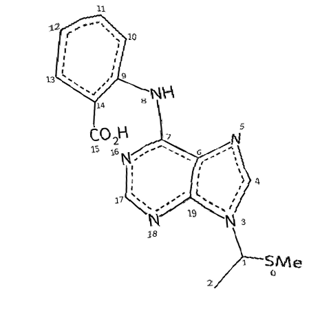 CSC(C)n1cnc2c(Nc3ccccc3C(=O)O)ncnc21